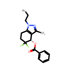 CC(=O)CCn1nc(C(F)(F)F)c2c1CCC(F)(F)[C@H]2OC(=O)c1ccccc1